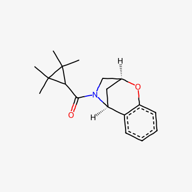 CC1(C)C(C(=O)N2C[C@@H]3C[C@H]2c2ccccc2O3)C1(C)C